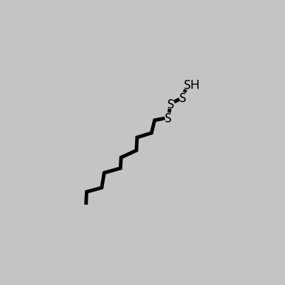 CCCCCCCCCCSSSS